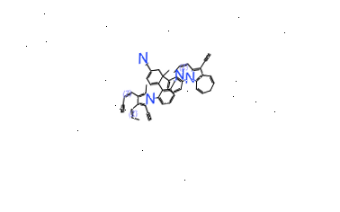 C#C/C=C\c1c(/C=C\C)c(C#C)n(-c2cccc(C#N)c2C2=CC=C(C#N)CC2(C)c2cccc(-n3c4c(c(C#C)c3/C=C\C)C=CCC=C4)c2)c1C